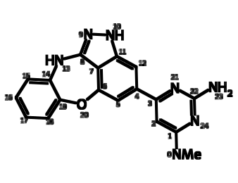 CNc1cc(-c2cc3c4c(n[nH]c4c2)Nc2ccccc2O3)nc(N)n1